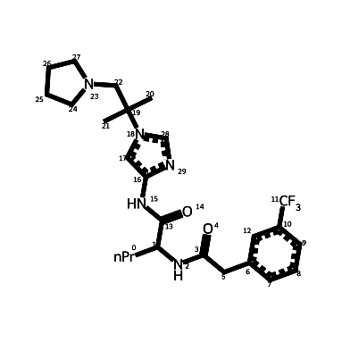 CCCC(NC(=O)Cc1cccc(C(F)(F)F)c1)C(=O)Nc1cn(C(C)(C)CN2CCCC2)cn1